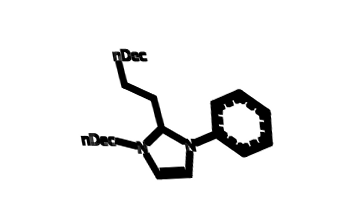 CCCCCCCCCCCCC1N(CCCCCCCCCC)C=CN1c1ccccc1